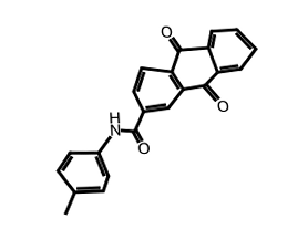 Cc1ccc(NC(=O)c2ccc3c(c2)C(=O)c2ccccc2C3=O)cc1